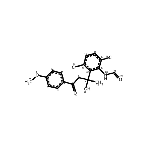 COc1ccc(C(=O)CC(C)(O)c2c(Cl)ccc(Cl)c2NC=O)cc1